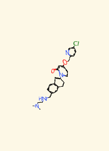 CN(C)CCNCc1ccc2c(c1)CCC(n1ccc(OCc3ccc(Cl)cn3)cc1=O)=C2